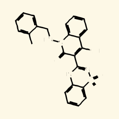 Cc1ccccc1CNn1c(=O)c(C2=NS(=O)(=O)c3ccccc3N2)c(O)c2ccccc21